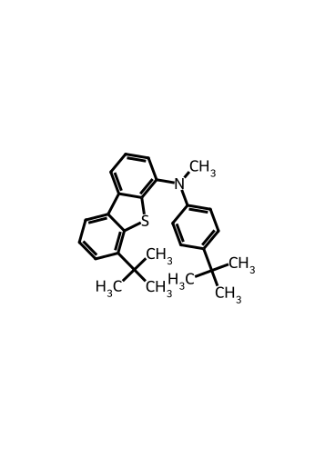 CN(c1ccc(C(C)(C)C)cc1)c1cccc2c1sc1c(C(C)(C)C)cccc12